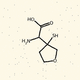 NC(C(=O)O)C1(S)CCOC1